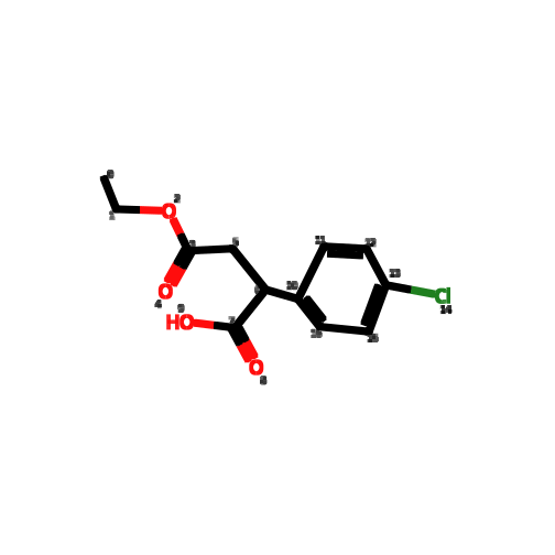 CCOC(=O)CC(C(=O)O)c1ccc(Cl)cc1